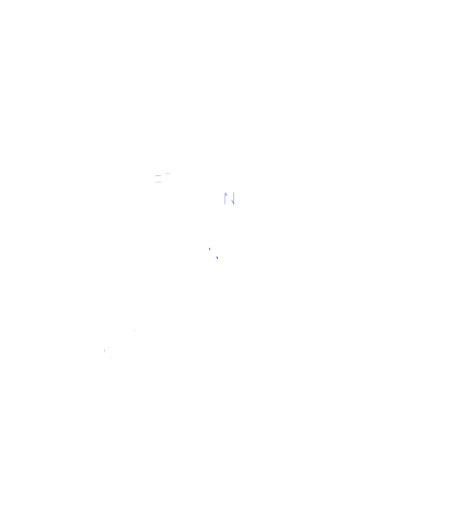 CCC(CC1=CC(=S)CC=C1)C1=NC(c2ccccc2)=C(c2ccccc2)[N]1